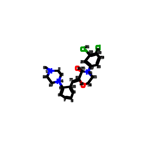 CN1CCN(c2ccccc2C=C2OCCN(c3ccc(Cl)c(Cl)c3)C2=O)CC1